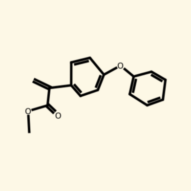 C=C(C(=O)OC)c1ccc(Oc2ccccc2)cc1